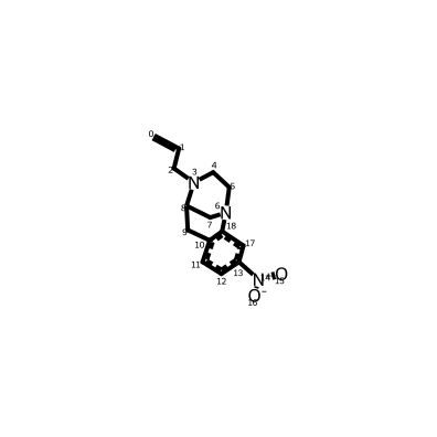 C=CCN1CCN2CC1Cc1ccc([N+](=O)[O-])cc12